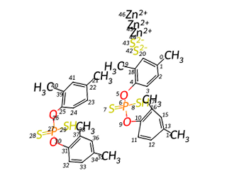 Cc1ccc(OP(=S)(S)Oc2ccc(C)cc2C)c(C)c1.Cc1ccc(OP(=S)(S)Oc2ccc(C)cc2C)c(C)c1.[S-2].[S-2].[Zn+2].[Zn+2].[Zn+2]